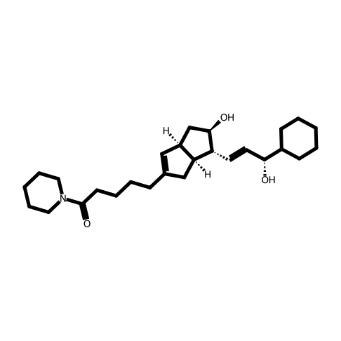 O=C(CCCCC1=C[C@H]2C[C@@H](O)[C@H](/C=C/[C@@H](O)C3CCCCC3)[C@H]2C1)N1CCCCC1